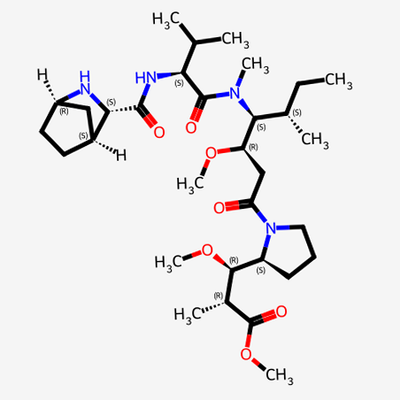 CC[C@H](C)[C@@H]([C@@H](CC(=O)N1CCC[C@H]1[C@H](OC)[C@@H](C)C(=O)OC)OC)N(C)C(=O)[C@@H](NC(=O)[C@H]1N[C@@H]2CC[C@H]1C2)C(C)C